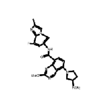 CNC1CCN(c2ccc(C(=O)Nc3cc(F)c4nc(C)cn4c3)c3nc(OC)ncc23)C1